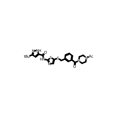 CC(=O)N1CCN(C(=O)c2cccc(CSc3cnc(NC(=O)c4cc(C(C)(C)C)n[nH]4)s3)c2)CC1